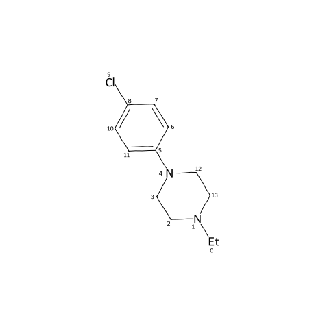 CCN1CCN(c2ccc(Cl)cc2)CC1